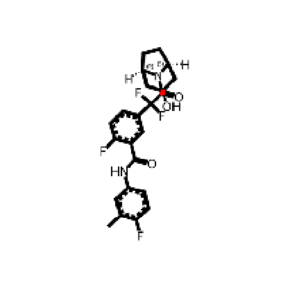 Cc1cc(NC(=O)c2cc(C(F)(F)C(=O)N3[C@@H]4CC[C@H]3C[C@@H](O)C4)ccc2F)ccc1F